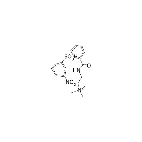 C[N+](C)(C)CCNC(=O)c1ccccc1.O=[N+]([O-])c1cccc(S(=O)(=O)O)c1